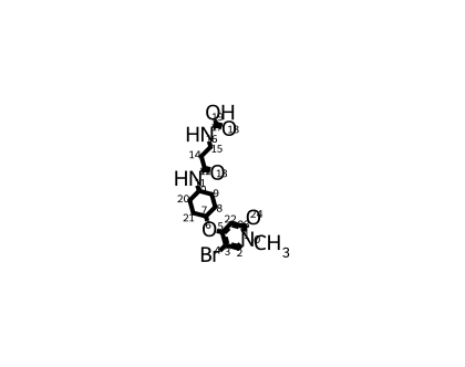 Cn1cc(Br)c(OC2CCC(NC(=O)CCNC(=O)O)CC2)cc1=O